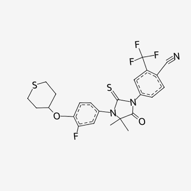 CC1(C)C(=O)N(c2ccc(C#N)c(C(F)(F)F)c2)C(=S)N1c1ccc(OC2CCSCC2)c(F)c1